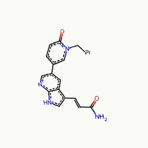 CC(C)Cn1cc(-c2cnc3[nH]cc(/C=C/C(N)=O)c3c2)ccc1=O